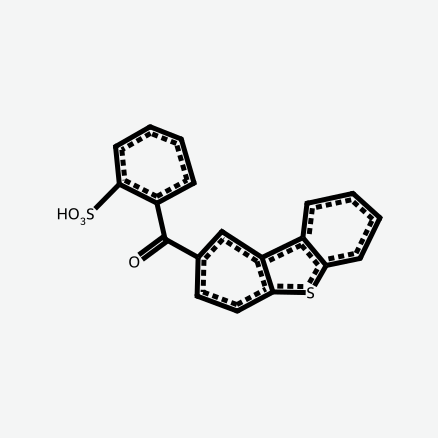 O=C(c1ccc2sc3ccccc3c2c1)c1ccccc1S(=O)(=O)O